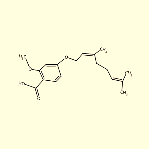 COc1cc(OCC=C(C)CCC=C(C)C)ccc1C(=O)O